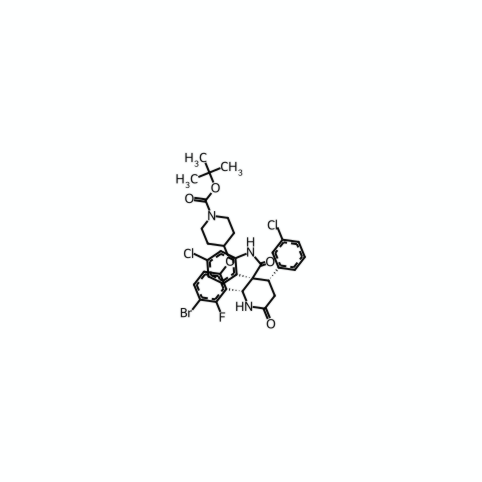 CC(C)(C)OC(=O)N1CCC(Oc2ccc(Br)c(F)c2[C@H]2NC(=O)C[C@@H](c3cccc(Cl)c3)[C@]23C(=O)Nc2cc(Cl)ccc23)CC1